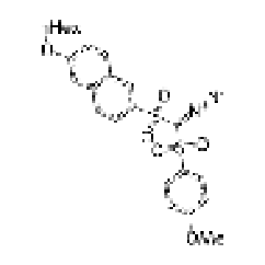 CCCCCCOc1ccc2cc(S(=O)(=O)C(=[N+]=[N-])S(=O)(=O)c3ccc(OC)cc3)ccc2c1